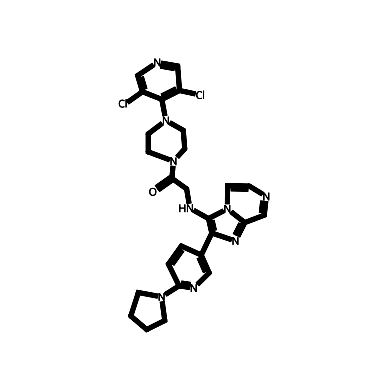 O=C(CNc1c(-c2ccc(N3CCCC3)nc2)nc2cnccn12)N1CCN(c2c(Cl)cncc2Cl)CC1